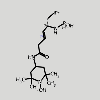 CC(C)C[C@@H](/C=C/CC(=O)NC1CC(C)(C)N(O)C(C)(C)C1)NPO